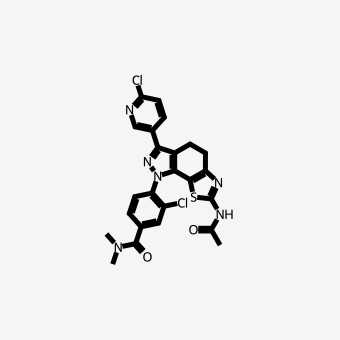 CC(=O)Nc1nc2c(s1)-c1c(c(-c3ccc(Cl)nc3)nn1-c1ccc(C(=O)N(C)C)cc1Cl)CC2